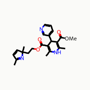 COC(=O)C1=C(C)NC(C)=C(C(=O)OCCC2(C)C=CC(C)=N2)C1c1cccnc1